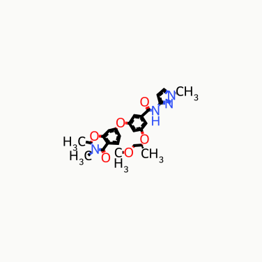 COC[C@H](C)Oc1cc(Oc2ccc3c(c2)OC(C)N(C)C3=O)cc(C(=O)Nc2ccn(C)n2)c1